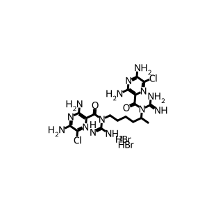 Br.Br.CC(CCCCN(C(=N)N)C(=O)c1nc(Cl)c(N)nc1N)N(C(=N)N)C(=O)c1nc(Cl)c(N)nc1N